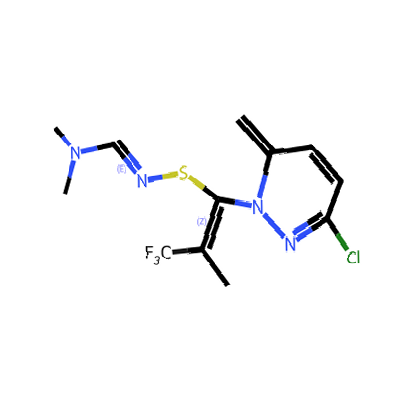 C=C1C=CC(Cl)=NN1/C(S/N=C/N(C)C)=C(\C)C(F)(F)F